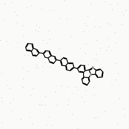 C1=CC2CC(c3ccc4ccccc4c3)=CC=C2C=C1c1ccc2cc(-c3ccc4c(c3)c3ccccc3n3c5ccccc5nc43)ccc2c1